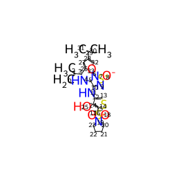 C=C(C)[C@@H](Nc1n[s+]([O-])nc1Nc1csc(S(=O)(=O)N2CCCC2)c1O)c1cc(C(C)C)co1